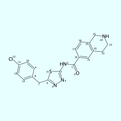 O=C(Nc1nnc(Cc2ccc(Cl)cc2)s1)c1ccc2c(c1)CCNC2